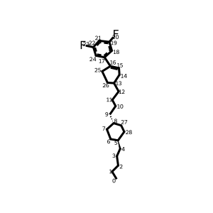 CCCCC[C@H]1CC[C@H](CCCCC2CC=C(c3cc(F)cc(F)c3)CC2)CC1